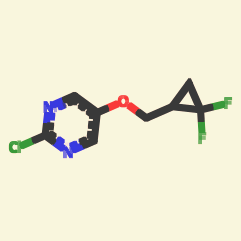 FC1(F)CC1COc1cnc(Cl)nc1